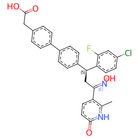 Cc1[nH]c(=O)ccc1/C(C[C@@H](c1ccc(-c2ccc(CC(=O)O)cc2)cc1)c1ccc(Cl)cc1F)=N/O